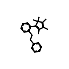 CC1=C(C)C(C)(C)C(c2ccccc2CCc2ccccc2)=C1C